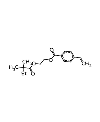 C=Cc1ccc(C(=O)OCCOC(=O)C(C)(C)CC)cc1